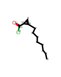 CCCCCCCCC1=CC1C(=O)Cl